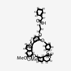 COc1cc2c3c(c1OC)Oc1ccc4c(c1)[C@H](Cc1ccc(cc1)Oc1cc(ccc1OCCCNC(=O)Cc1ccccc1)C[C@H]3N(C)CC2)N(C)CC4